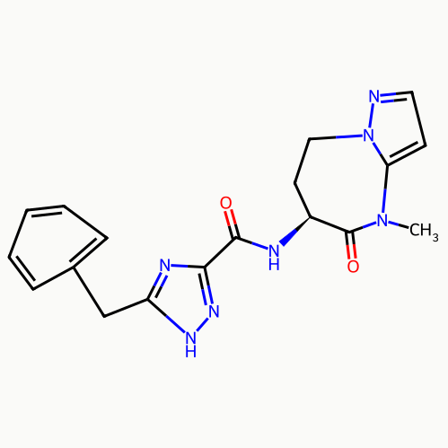 CN1C(=O)[C@@H](NC(=O)c2n[nH]c(Cc3ccccc3)n2)CCn2nccc21